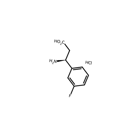 Cl.N[C@@H](CC(=O)O)c1cccc(F)c1